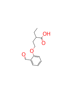 CCC(CCOc1ccccc1C=O)C(=O)O